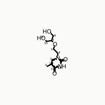 Cc1cn(CCOC(CO)CO)c(=O)[nH]c1=O